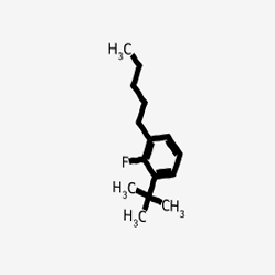 CCCCCc1cccc(C(C)(C)C)c1F